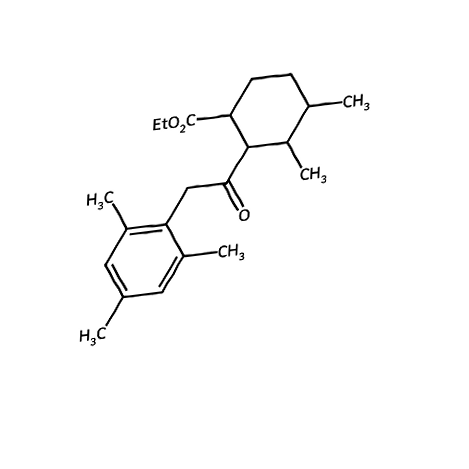 CCOC(=O)C1CCC(C)C(C)C1C(=O)Cc1c(C)cc(C)cc1C